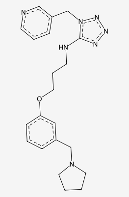 c1cncc(Cn2nnnc2NCCCOc2cccc(CN3CCCC3)c2)c1